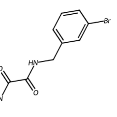 NC(=O)C(=O)NCc1cccc(Br)c1